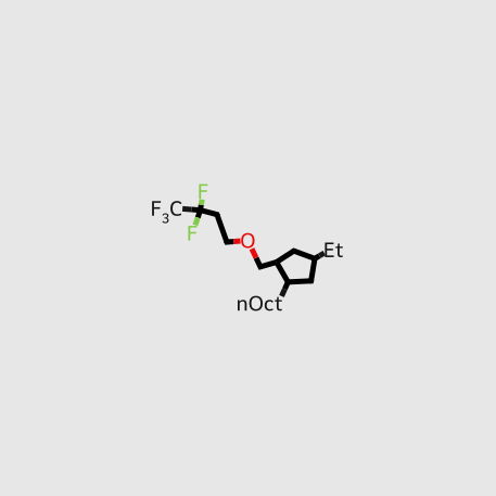 CCCCCCCCC1CC(CC)CC1COCCC(F)(F)C(F)(F)F